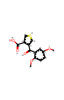 COc1ccc(OC)c(C(=O)c2cscc2C(=O)O)c1